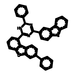 c1ccc(-c2ccc3c(c2)oc2cccc(C4=NC(c5ccc6sc7ccccc7c6c5)=NC(c5ccccc5)N4)c23)cc1